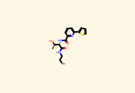 CC(C)C[CH]NC(=O)[C@@H](NC(=O)c1cccc(-c2cccs2)n1)[C@@H](C)O